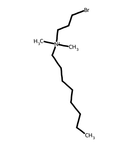 CCCCCCCC[N+](C)(C)CCCBr